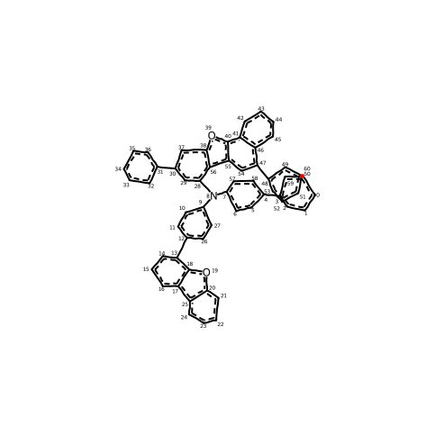 c1ccc(-c2ccc(N(c3ccc(-c4cccc5c4oc4ccccc45)cc3)c3cc(-c4ccccc4)cc4oc5c6ccccc6c(-c6ccccc6)cc5c34)cc2)cc1